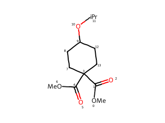 COC(=O)C1(C(=O)OC)CCC(OC(C)C)CC1